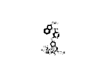 CO[C@H]1Cc2ccccc2[C@H]1Nc1cc(O[C@@H]2C[C@@H](CN(C(=O)O)S(N)(=O)=O)[C@H](O[Si](C)(C)C(C)(C)C)C2)ncn1